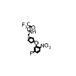 O=C(ONC[C@H]1CC[C@H](Oc2cc(F)ccc2[N+](=O)[O-])C1)C(F)(F)F